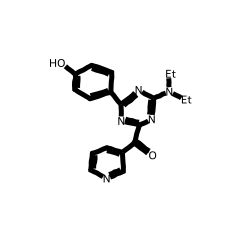 CCN(CC)c1nc(C(=O)c2cccnc2)nc(-c2ccc(O)cc2)n1